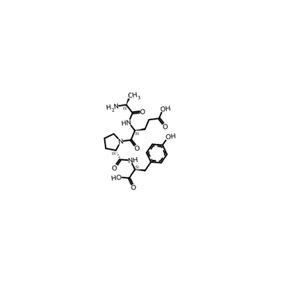 C[C@H](N)C(=O)N[C@@H](CCC(=O)O)C(=O)N1CCC[C@H]1C(=O)N[C@@H](Cc1ccc(O)cc1)C(=O)O